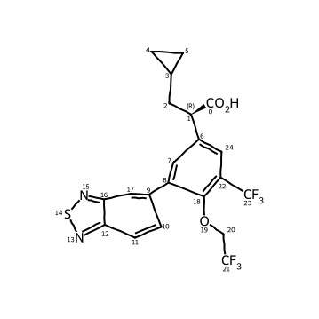 O=C(O)[C@H](CC1CC1)c1cc(-c2ccc3nsnc3c2)c(OCC(F)(F)F)c(C(F)(F)F)c1